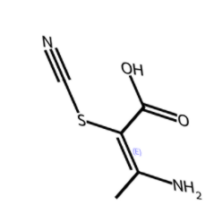 C/C(N)=C(\SC#N)C(=O)O